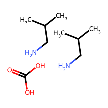 CC(C)CN.CC(C)CN.O=C(O)O